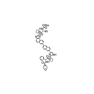 COC(=O)N[C@H](C(=O)N1CCC[C@H]1c1nc2ccc3cc(-c4ccc5cc(C6=CNC([C@@H]7CCCN7C(=O)[C@H](NC(=O)N7CCOCC7)c7ccccc7)N6)ccc5c4)ccc3c2[nH]1)C(C)C